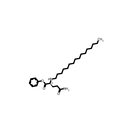 CCCCCCCCCCCCCCCCN[C@@H](CCC(N)=O)C(=O)Oc1ccccc1